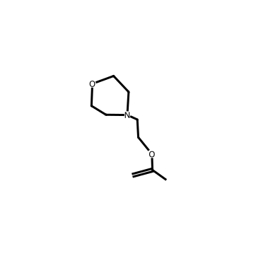 C=C(C)OCCN1CCOCC1